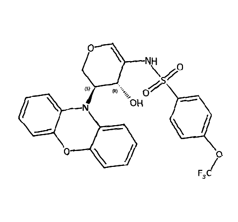 O=S(=O)(NC1=COC[C@H](N2c3ccccc3Oc3ccccc32)[C@H]1O)c1ccc(OC(F)(F)F)cc1